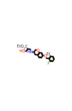 CCOC(=O)C(CO)CNC1COc2cc(OCc3c(F)cccc3CC)ccc2C1